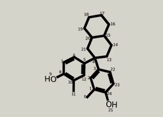 Cc1cc(C2(c3ccc(O)c(C)c3)CCC3CCCCC3C2)ccc1O